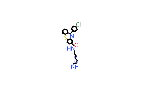 N=C/C=C\C=C\CCNC(=O)c1ccc2c(c1)N=C(c1ccc(Cl)cc1)c1ccccc1S2